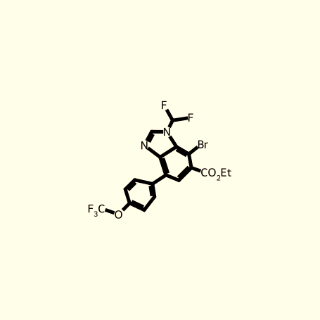 CCOC(=O)c1cc(-c2ccc(OC(F)(F)F)cc2)c2ncn(C(F)F)c2c1Br